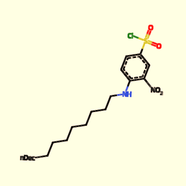 CCCCCCCCCCCCCCCCCCNc1ccc(S(=O)(=O)Cl)cc1[N+](=O)[O-]